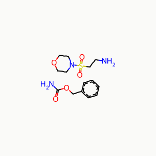 NC(=O)OCc1ccccc1.NCCS(=O)(=O)N1CCOCC1